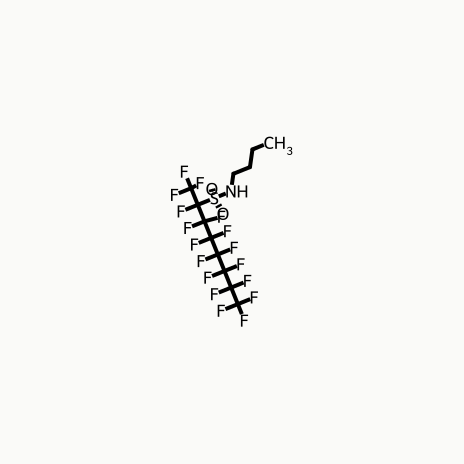 CCCCNS(=O)(=O)C(F)(C(F)(F)F)C(F)(F)C(F)(F)C(F)(F)C(F)(F)C(F)(F)C(F)(F)F